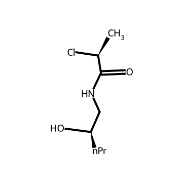 CCC[C@@H](O)CNC(=O)[C@H](C)Cl